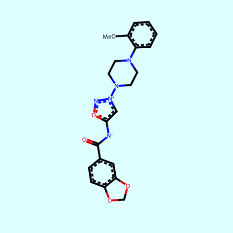 COc1ccccc1N1CCN([n+]2cc([N-]C(=O)c3ccc4c(c3)OCO4)on2)CC1